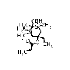 C=CC(=O)OC1(CC)C[Si](C)(C)C(C)(C)[Si](C)(C)C1